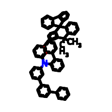 CC1(C)c2ccccc2C2(c3ccccc3-c3ccccc32)c2ccc(-c3cccc(N(c4cccc(-c5cccc(-c6ccccc6)c5)c4)c4ccccc4-c4ccccc4)c3)cc21